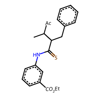 CCOC(=O)c1cccc(NC(=S)C(Cc2ccccc2)C(C)C(C)=O)c1